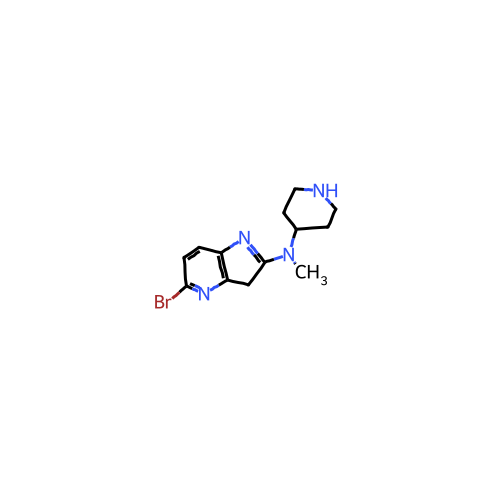 CN(C1=Nc2ccc(Br)nc2C1)C1CCNCC1